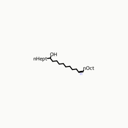 CCCCCCCC/C=C\CCCCCCCCC(O)CCCCCCC